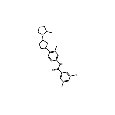 Cc1cc(NC(=O)c2cc(Cl)cc(Cl)c2)ccc1N1CCC(N2CCCC2C)C1